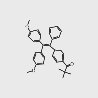 COc1ccc(C(=C(c2ccccc2)C2C=CC(C(=O)C(C)(C)C)=CC2)c2ccc(OC)cc2)cc1